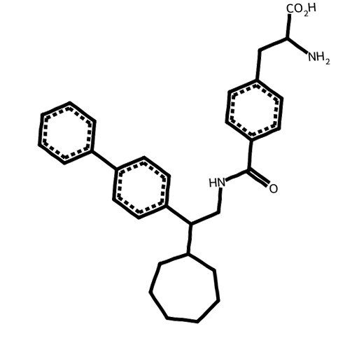 NC(Cc1ccc(C(=O)NCC(c2ccc(-c3ccccc3)cc2)C2CCCCCC2)cc1)C(=O)O